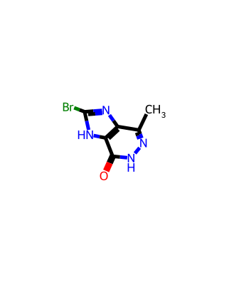 Cc1n[nH]c(=O)c2[nH]c(Br)nc12